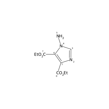 CCOC(=O)c1ncn(N)c1C(=O)OCC